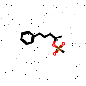 C[C@H](CCCc1ccccc1)OS(C)(=O)=O